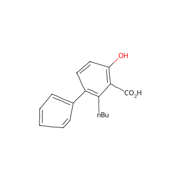 CCCCc1c(-c2ccccc2)ccc(O)c1C(=O)O